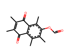 CC1=C(C)C(=O)c2c(C)c(OC=O)c(C)c(C)c2C1=O